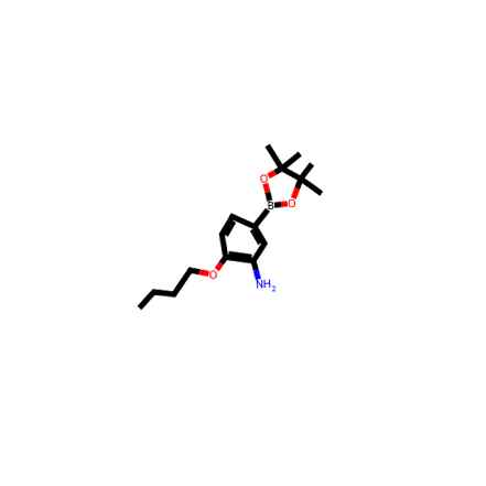 CCCCOc1ccc(B2OC(C)(C)C(C)(C)O2)cc1N